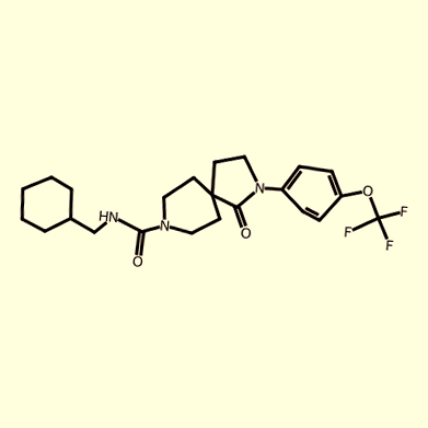 O=C(NCC1CCCCC1)N1CCC2(CC1)CCN(c1ccc(OC(F)(F)F)cc1)C2=O